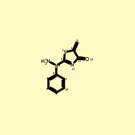 C=C1SC(N(N)c2ccccc2)=NC1=O